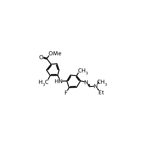 CCN(C)/C=N/c1cc(F)c(Nc2ccc(C(=O)OC)cc2C)cc1C